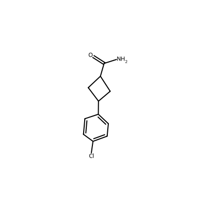 NC(=O)C1CC(c2ccc(Cl)cc2)C1